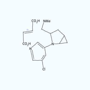 CNCC1CC2CC2N1c1cncc(Cl)c1.O=C(O)/C=C/C(=O)O